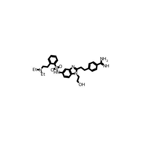 CCN(CC)CCc1ccccc1S(=O)(=O)Nc1ccc2c(c1)nc(CCc1ccc(C(=N)N)cc1)n2CCO